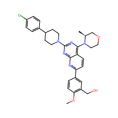 COc1ccc(-c2ccc3c(N4CCOC[C@@H]4C)nc(N4CCC(c5ccc(Cl)cc5)CC4)nc3n2)cc1CO